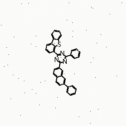 c1ccc(-c2ccc3ccc(-c4nc(-c5ccccc5)nc(-c5cccc6c5sc5ccccc56)n4)cc3c2)cc1